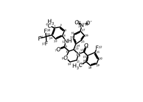 Cc1ccc(NC(=O)C2OCCN(C(=O)c3c(C)cccc3F)C2c2ccc([N+](=O)[O-])cc2)cc1C(F)(F)F